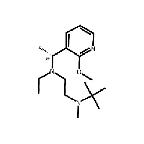 CCN(CCN(C)C(C)(C)C)[C@H](C)c1cccnc1OC